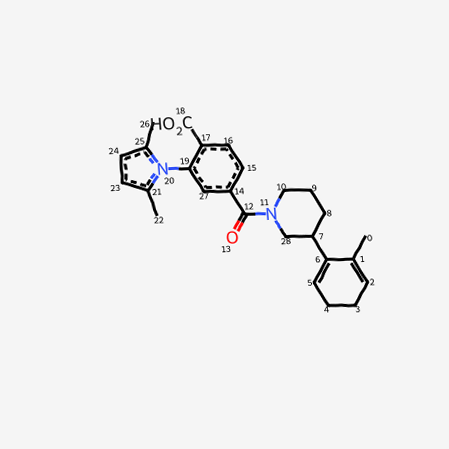 CC1=CCCC=C1C1CCCN(C(=O)c2ccc(C(=O)O)c(-n3c(C)ccc3C)c2)C1